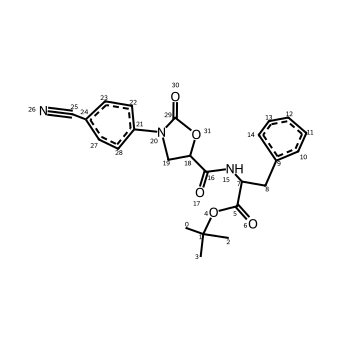 CC(C)(C)OC(=O)C(Cc1ccccc1)NC(=O)C1CN(c2ccc(C#N)cc2)C(=O)O1